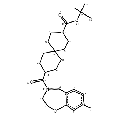 Cc1ccc2c(c1)OCCN(C(=O)C1CCC3(CC1)CCN(C(=O)OC(C)(C)C)CC3)C2